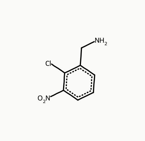 NCc1cccc([N+](=O)[O-])c1Cl